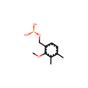 COc1c(COP(O)O)ccc(C)c1C